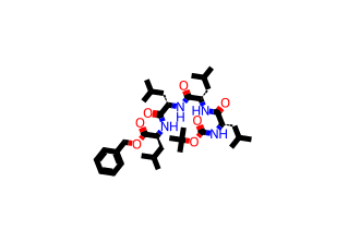 CC(C)C[C@H](NC(=O)OC(C)(C)C)C(=O)N[C@@H](CC(C)C)C(=O)N[C@@H](CC(C)C)C(=O)N[C@@H](CC(C)C)C(=O)OCc1ccccc1